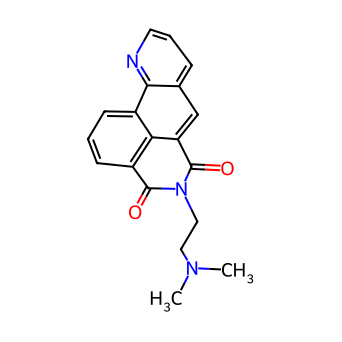 CN(C)CCN1C(=O)c2cccc3c2c(cc2cccnc23)C1=O